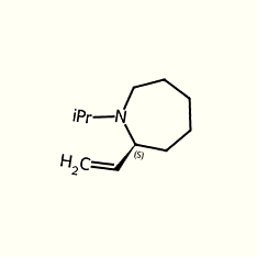 C=C[C@@H]1CCCCCN1C(C)C